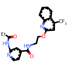 CCC(=O)Nc1cc(C(=O)NCCOc2cc(C(F)(F)F)c3ccccc3n2)ccn1